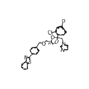 Clc1ccc([C@]2(Cn3ccnc3)OC[C@@H](COCc3ccc(-c4nc5ccccc5s4)cc3)O2)c(Cl)c1